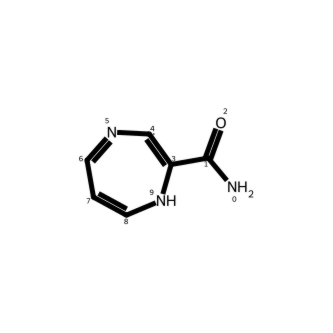 NC(=O)C1=[C]N=CC=CN1